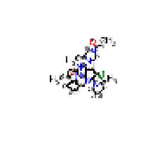 C=CC(=O)N1CCN(c2nc(=O)n(-c3ccccc3C(C)C)c3nc(N4CCCC[C@@H]4C)c(Cl)cc23)[C@@H](C)C1